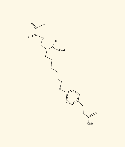 C=C(C)C(=O)OCC(CCCCCCOc1ccc(C=CC(=O)OC)cc1)C(CCCC)CCCCC